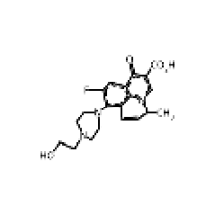 CC1C=Cc2c(N3CCN(CCO)CC3)c(F)cc3c(=O)c(C(=O)O)cn1c23